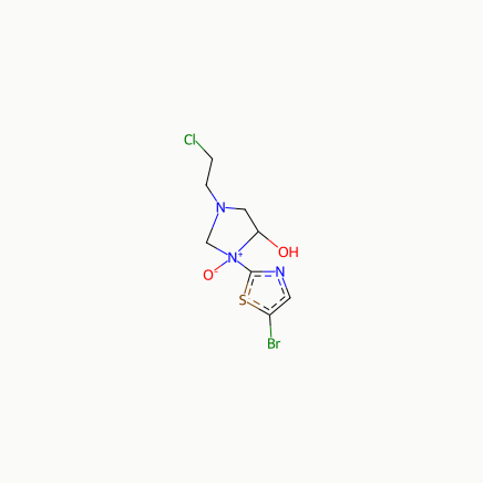 [O-][N+]1(c2ncc(Br)s2)CN(CCCl)CC1O